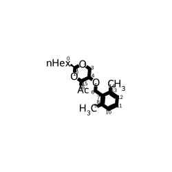 CCCCCC[C@H]1OCC(OCc2c(C)cccc2C)C(C(C)=O)O1